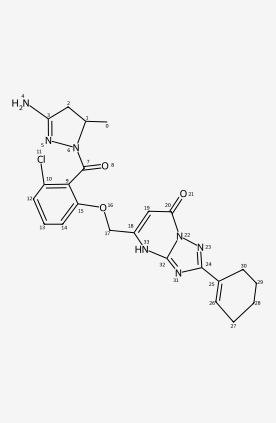 CC1CC(N)=NN1C(=O)c1c(Cl)cccc1OCc1cc(=O)n2nc(C3=CCCCC3)nc2[nH]1